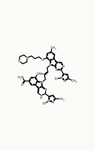 CCn1nc(C)cc1-c1ncc2c3cc(C)cc(OCCCN4CCOCC4)c3n(C/C=C/Cn3c4c(c5cc(C(N)=O)cc(OC)c53)=CNC(c3cc(C)nn3CC)N=4)c2n1